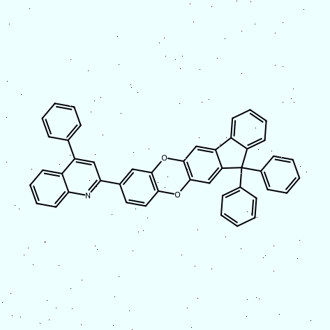 c1ccc(-c2cc(-c3ccc4c(c3)Oc3cc5c(cc3O4)C(c3ccccc3)(c3ccccc3)c3ccccc3-5)nc3ccccc23)cc1